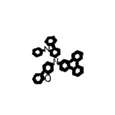 c1ccc(-n2c3ccccc3c3ccc(N(c4ccc5c(c4)oc4ccccc45)c4ccc5c6ccccc6c6ccccc6c5c4)cc32)cc1